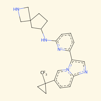 FC(F)(F)C1(c2ccc3ncc(-c4cccc(NC5CCC6(CNC6)C5)n4)n3c2)CC1